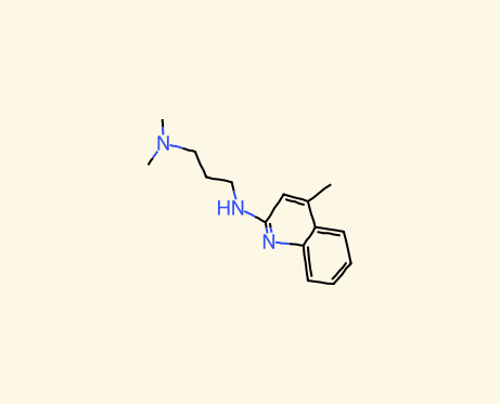 Cc1cc(NCCCN(C)C)nc2ccccc12